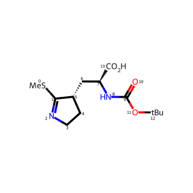 CSC1=NCC[C@H]1C[C@H](NC(=O)OC(C)(C)C)C(=O)O